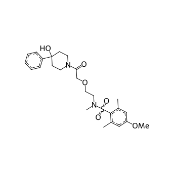 COc1cc(C)c(S(=O)(=O)N(C)CCOCC(=O)N2CCC(O)(c3ccccc3)CC2)c(C)c1